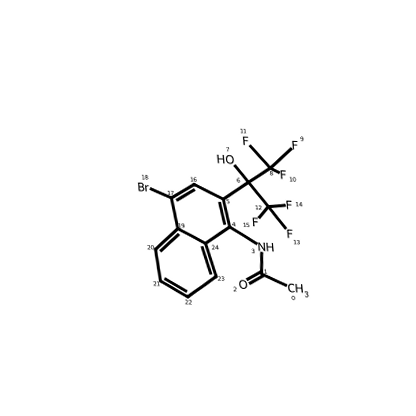 CC(=O)Nc1c(C(O)(C(F)(F)F)C(F)(F)F)cc(Br)c2ccccc12